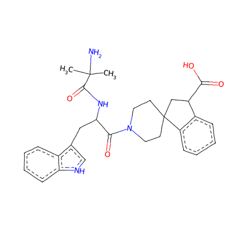 CC(C)(N)C(=O)NC(Cc1c[nH]c2ccccc12)C(=O)N1CCC2(CC1)CC(C(=O)O)c1ccccc12